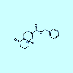 O=C(OCc1ccccc1)N1CCN2C(=O)CCC[C@H]2C1